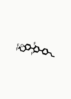 CCCc1ccc(-c2cc(F)c(-c3ccc4c(c3)CCC(F)(F)O4)c(F)c2)cc1